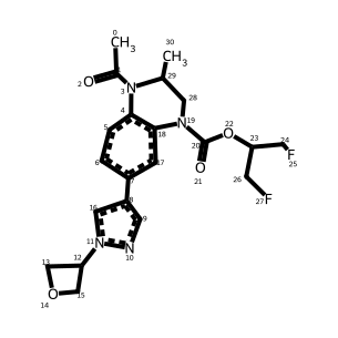 CC(=O)N1c2ccc(-c3cnn(C4COC4)c3)cc2N(C(=O)OC(CF)CF)CC1C